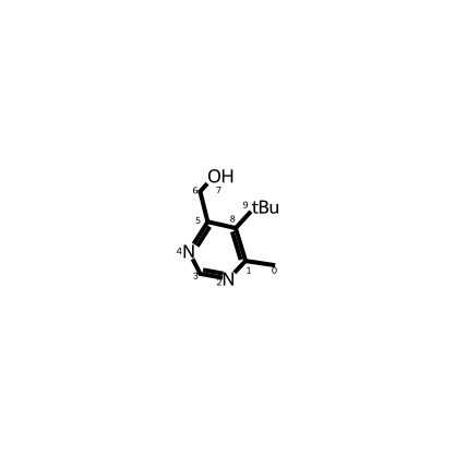 Cc1ncnc(CO)c1C(C)(C)C